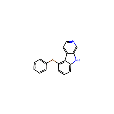 c1ccc(Sc2cccc3[nH]c4cnccc4c23)cc1